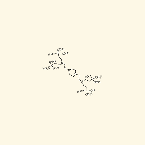 CCCCCCCCC(CCCCCC)(CCN(CCN1CCN(CCN(CCC(CCCCCC)(CCCCCCCC)C(=O)O)CCC(CCCCCC)(CCCCCCCC)C(=O)O)CC1)CCC(CCCCCC)(CCCCCCCC)C(=O)O)C(=O)O